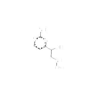 CCCCNCC(O)c1ccnc(N)n1